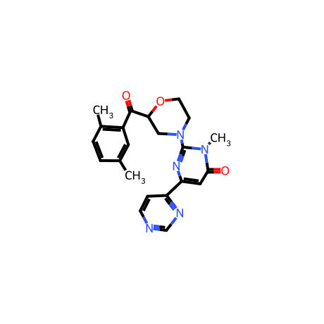 Cc1ccc(C)c(C(=O)C2CN(c3nc(-c4ccncn4)cc(=O)n3C)CCO2)c1